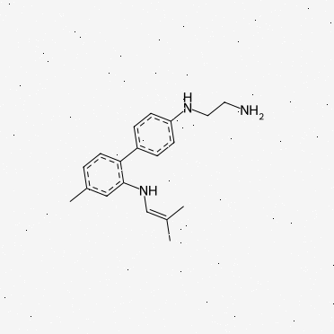 CC(C)=CNc1cc(C)ccc1-c1ccc(NCCN)cc1